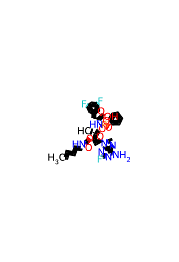 C#C[C@]1(CO[P@@](=O)(N[C@@H](Cc2cc(F)cc(F)c2)C(=O)O)Oc2ccccc2)O[C@@H](n2cnc3c(N)nc(F)nc32)C[C@@H]1OC(=O)NCCCCCC